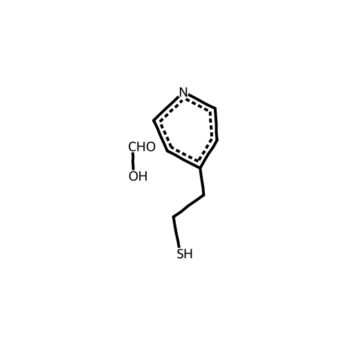 O=CO.SCCc1ccncc1